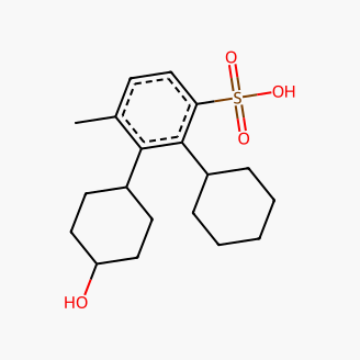 Cc1ccc(S(=O)(=O)O)c(C2CCCCC2)c1C1CCC(O)CC1